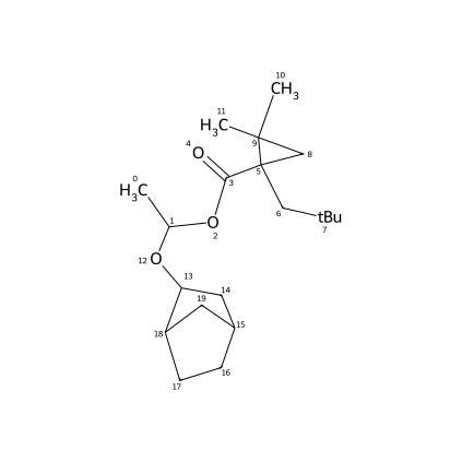 CC(OC(=O)C1(CC(C)(C)C)CC1(C)C)OC1CC2CCC1C2